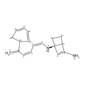 C=C(/C=C\C=C/N[C@]12C=C(N)C1CC2)C1C=CC=CC1